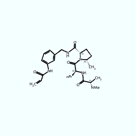 C=CC(=O)Nc1cccc(CNC(=O)[C@@H]2CC[C@H](C)N2C(=O)[C@H](CCC)NC(=O)[C@H](C)NC)c1